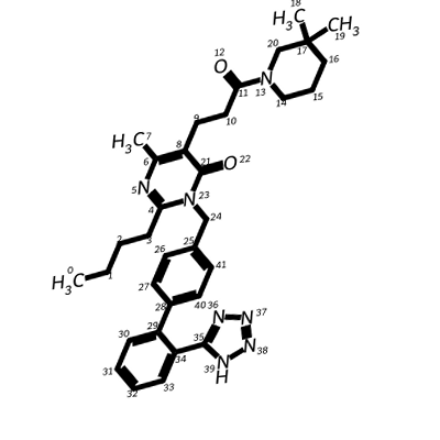 CCCCc1nc(C)c(CCC(=O)N2CCCC(C)(C)C2)c(=O)n1Cc1ccc(-c2ccccc2-c2nnn[nH]2)cc1